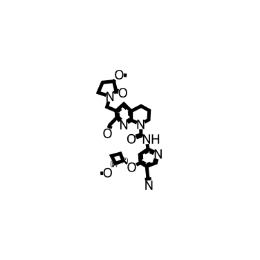 COC1CCN(Cc2cc3c(nc2C=O)N(C(=O)Nc2cc(O[C@@H]4CC[C@H]4OC)c(C#N)cn2)CCC3)C1=O